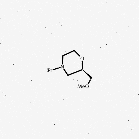 COC[C@H]1CN(C(C)C)CCO1